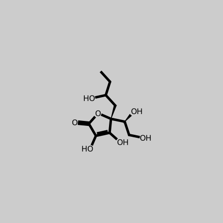 CCC(O)C[C@]1([C@@H](O)CO)OC(=O)C(O)=C1O